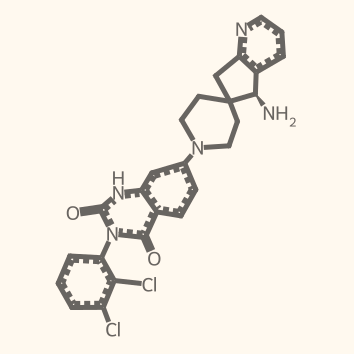 N[C@@H]1c2cccnc2CC12CCN(c1ccc3c(=O)n(-c4cccc(Cl)c4Cl)c(=O)[nH]c3c1)CC2